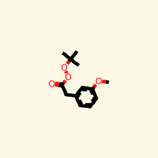 COc1cccc(CC(=O)OOC(C)(C)C)c1